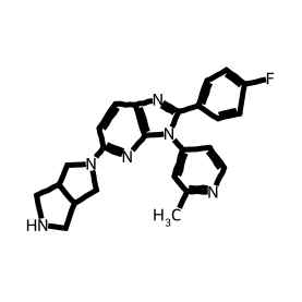 Cc1cc(-n2c(-c3ccc(F)cc3)nc3ccc(N4CC5CNCC5C4)nc32)ccn1